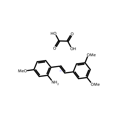 COc1cc(/C=C/c2ccc(OC)cc2N)cc(OC)c1.O=C(O)C(=O)O